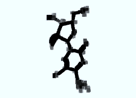 C=C1[C@H](n2cc(CC)c(N)nc2=O)O[C@H](CO)[C@H]1O